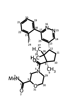 CNC(=O)C1CN(C(=O)[C@]2(C)CC[C@@H](c3cnnc(-c4ccccc4F)c3)C2(C)C)CCO1